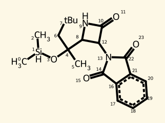 C[SiH](C)OC(C)(CC(C)(C)C)C1NC(=O)C1N1C(=O)c2ccccc2C1=O